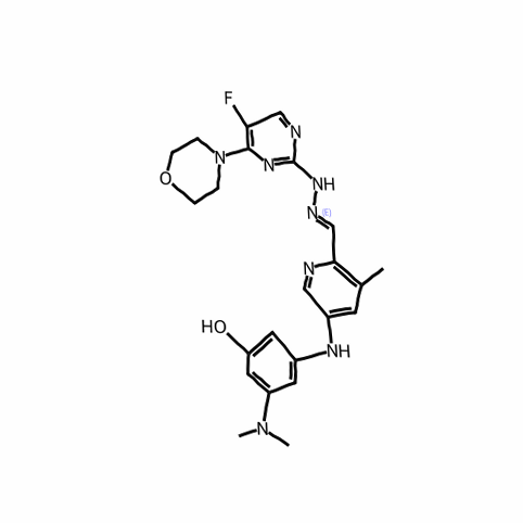 Cc1cc(Nc2cc(O)cc(N(C)C)c2)cnc1/C=N/Nc1ncc(F)c(N2CCOCC2)n1